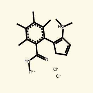 Cc1c(C)c(C)c(C2=C([SiH](C)C)C=CC2)c(C(=O)[NH][Ti+2])c1C.[Cl-].[Cl-]